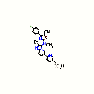 CCc1nc2ccc(-c3ccc(CC(=O)O)cn3)cn2c1N(C)c1nc(-c2ccc(F)cc2)c(C#N)s1